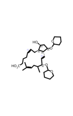 CC(C)=CCC(C)[C@H](/C=C/[C@@H]1[C@@H](C/C=C\CCCC(=O)O)[C@@H](O)C[C@H]1OC1CCCCO1)OC1CCCCO1